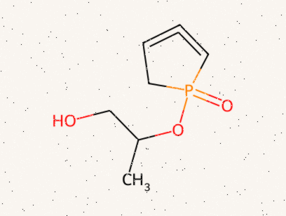 CC(CO)OP1(=O)C=C=CC1